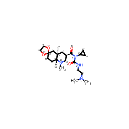 CN(C)CCNC(=O)N(C(=O)[C@@H]1C[C@@H]2CC3(CC[C@H]2N(C)C1)OCCO3)C1CC1